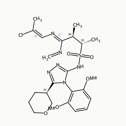 C=N/C(=N\C=C(/C)Cl)[C@@H](C)[C@H](C)S(=O)(=O)Nc1nnc([C@@H]2CCCOC2)n1-c1c(OC)cccc1OC